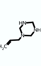 C=CCN1CNCNC1